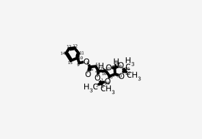 CC1(C)OC(CC(=O)OCc2ccccc2)[C@H]2O[C@@H]3OC(C)(C)OC3C2O1